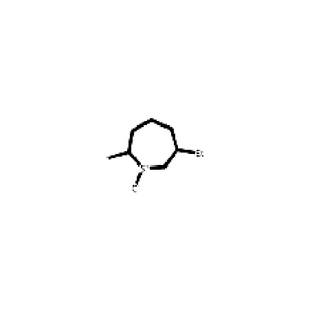 CCC1CCCC(C)[S+]([O-])C1